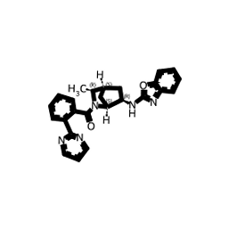 C[C@@H]1[C@H]2C[C@@H](Nc3nc4ccccc4o3)[C@H](C2)N1C(=O)c1ccccc1-c1ncccn1